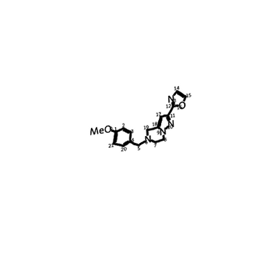 COc1ccc(CN2CCn3nc(-c4ncco4)cc3C2)cc1